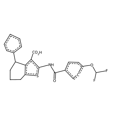 O=C(Nc1sc2c(c1C(=O)O)C(c1ccccc1)CCC2)c1ccc(OC(F)F)cc1